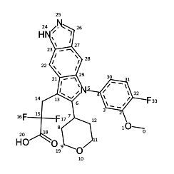 COc1cc(-n2c(C3CCOCC3)c(CC(F)(F)C(=O)O)c3cc4[nH]ncc4cc32)ccc1F